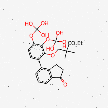 CCOC(=O)C(C)(C)COc1c(-c2cccc3c2CCC3=O)ccc(OC(O)(O)O)c1OC(O)(O)O